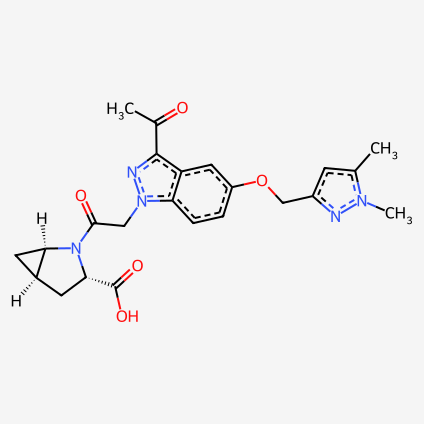 CC(=O)c1nn(CC(=O)N2[C@@H]3C[C@@H]3C[C@H]2C(=O)O)c2ccc(OCc3cc(C)n(C)n3)cc12